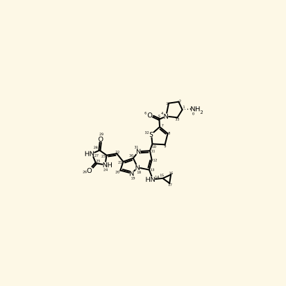 N[C@H]1CCN(C(=O)C2=CCC(c3cc(NC4CC4)n4ncc(/C=C5\NC(=O)NC5=O)c4n3)S2)C1